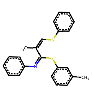 CC(=CSc1ccccc1)C(=Nc1ccccc1)Sc1cccc(C)c1